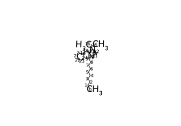 CCCCCCCCCC[n+]1ccn(C(C)C)c1Cc1ccccc1